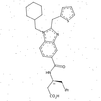 CC(C)C[C@@H](CC(=O)O)NC(=O)c1ccc2c(c1)nc(Cc1cccs1)n2CC1CCCCC1